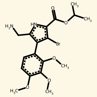 COc1ccc(-c2c(CN)[nH]c(C(=O)OC(C)C)c2Br)c(OC)c1OC